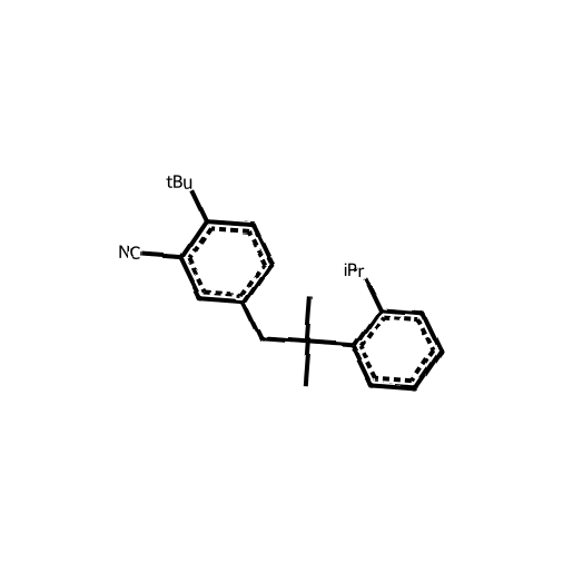 CC(C)c1ccccc1C(C)(C)Cc1ccc(C(C)(C)C)c(C#N)c1